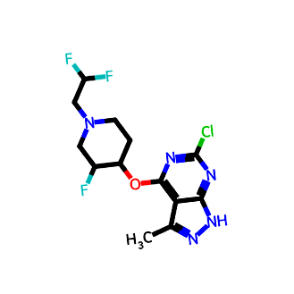 Cc1n[nH]c2nc(Cl)nc(OC3CCN(CC(F)F)CC3F)c12